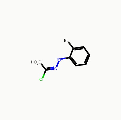 CCc1ccccc1N/N=C(/Cl)C(=O)O